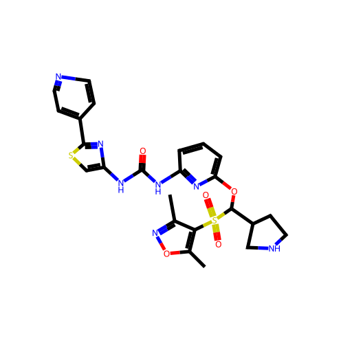 Cc1noc(C)c1S(=O)(=O)C(Oc1cccc(NC(=O)Nc2csc(-c3ccncc3)n2)n1)C1CCNC1